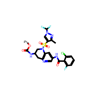 Cc1nn(C(F)F)cc1S(=O)(=O)N1CC(NC(=O)OC(C)C)Cc2ncc(NC(=O)c3c(F)cccc3Cl)cc21